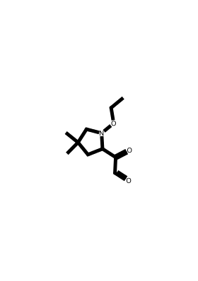 CCON1CC(C)(C)CC1C(=O)C=O